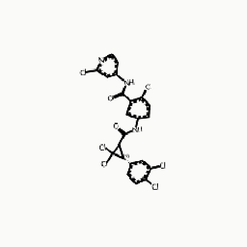 O=C(Nc1ccnc(Cl)c1)c1cc(NC(=O)C2[C@H](c3ccc(Cl)c(Cl)c3)C2(Cl)Cl)ccc1Cl